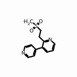 [CH2]S(=O)(=O)CCc1ncccc1-c1ccncc1